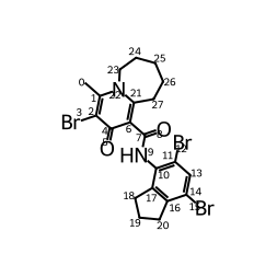 Cc1c(Br)c(=O)c(C(=O)Nc2c(Br)cc(Br)c3c2CCC3)c2n1CCCCC2